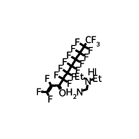 CCN(CC)CN.I.O=C(C(F)=C(F)F)C(F)(F)C(F)(F)C(F)(F)C(F)(F)C(F)(F)C(F)(F)C(F)(F)F